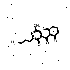 CCCCn1nc(C)cc(C(=O)C2C(=O)CCCC2=O)c1=O